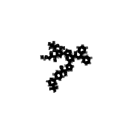 CCC(=O)N[C@H]1C[C@@H](n2cnc3c(NCC(c4ccccc4)c4ccccc4)nc(N4CC[C@@H](NC(=O)C5CCN(c6nccc(C(F)(F)F)n6)CC5)C4)nc32)[C@H](O)[C@@H]1OC(=O)C(F)(F)F